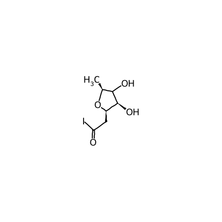 C[C@@H]1O[C@H](CC(=O)I)[C@H](O)C1O